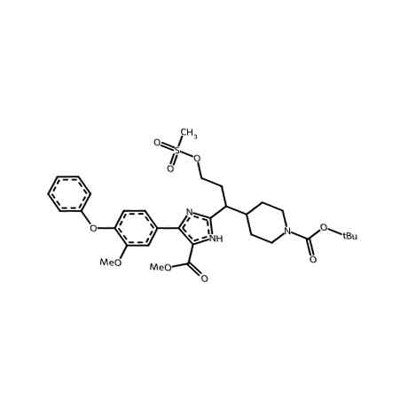 COC(=O)c1[nH]c(C(CCOS(C)(=O)=O)C2CCN(C(=O)OC(C)(C)C)CC2)nc1-c1ccc(Oc2ccccc2)c(OC)c1